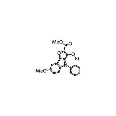 CCOc1c(C(=O)OC)oc2c3cc(OC)ccc3n(-c3ccccc3)c12